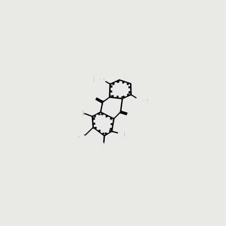 O=C1c2c(O)ccc(O)c2C(=O)c2c(Cl)c(Cl)c(Cl)c(Cl)c21